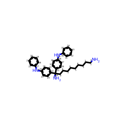 NCCCCCCCCCC(N)(c1ccc(Nc2ccccc2)cc1)c1ccc(Nc2ccccc2)cc1